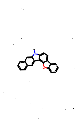 Cn1c2cc3ccccc3cc2c2c3oc4ccccc4c3ccc21